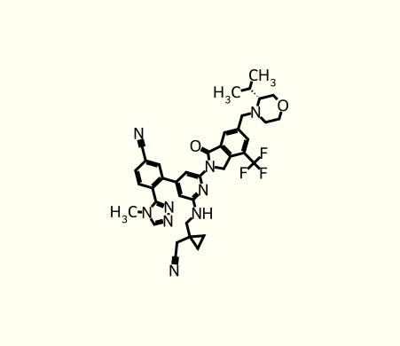 CC(C)[C@@H]1COCCN1Cc1cc2c(c(C(F)(F)F)c1)CN(c1cc(-c3cc(C#N)ccc3-c3nncn3C)cc(NCC3(CC#N)CC3)n1)C2=O